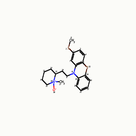 CSc1ccc2c(c1)N(CCC1CCCC[N+]1(C)[O-])c1ccccc1S2